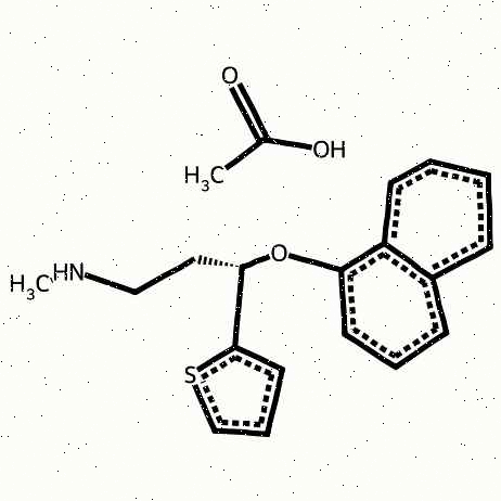 CC(=O)O.CNCC[C@H](Oc1cccc2ccccc12)c1cccs1